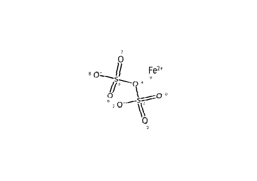 O=S(=O)([O-])OS(=O)(=O)[O-].[Fe+2]